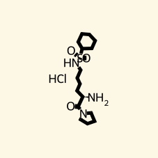 Cl.N[C@@H](CCCCNS(=O)(=O)C1CCCCC1)C(=O)N1CCCC1